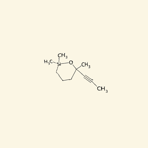 CC#CC1(C)CCC[Si](C)(C)O1